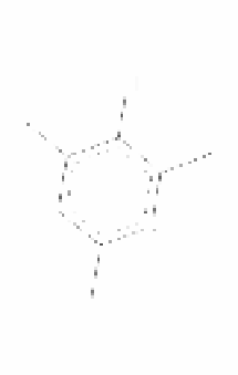 Cc1cc(C)c(Cl)c(C)n1